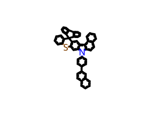 c1ccc2c(c1)Sc1cc3c(cc1C21c2ccccc2-c2ccccc21)c1c2ccccc2ccc1n3-c1ccc(-c2ccc3ccccc3c2)cc1